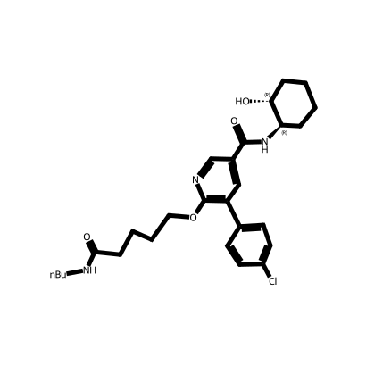 CCCCNC(=O)CCCCOc1ncc(C(=O)N[C@@H]2CCCC[C@H]2O)cc1-c1ccc(Cl)cc1